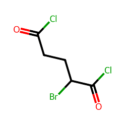 O=C(Cl)CCC(Br)C(=O)Cl